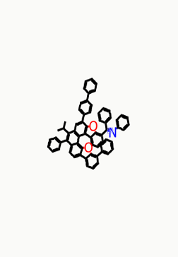 CC(C)c1c(-c2ccccc2)c2ccc3c4cccc(-c5ccccc5)c4oc3c2c2c1cc(-c1ccc(-c3ccccc3)cc1)c1oc3c(/C(=N/c4ccccc4)c4ccccc4)cccc3c12